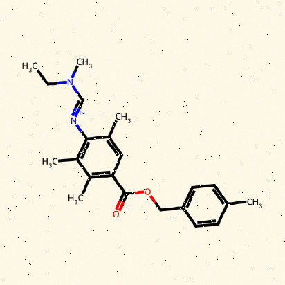 CCN(C)/C=N/c1c(C)cc(C(=O)OCc2ccc(C)cc2)c(C)c1C